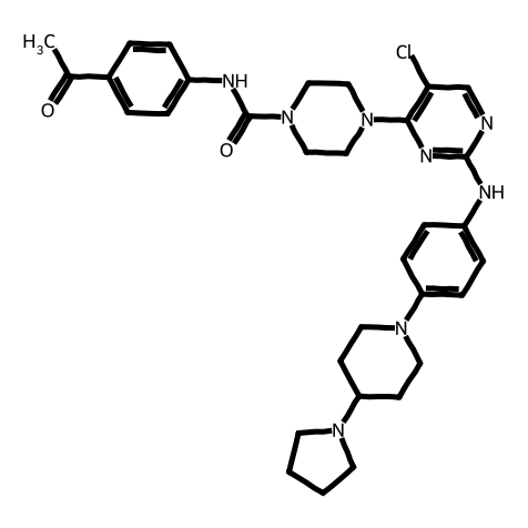 CC(=O)c1ccc(NC(=O)N2CCN(c3nc(Nc4ccc(N5CCC(N6CCCC6)CC5)cc4)ncc3Cl)CC2)cc1